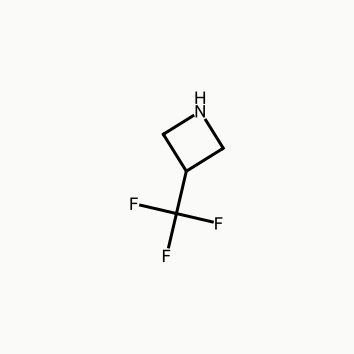 FC(F)(F)C1CNC1